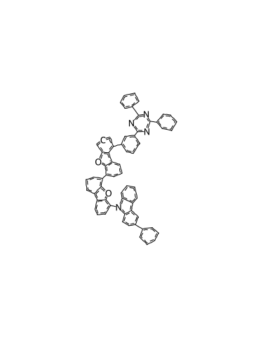 c1ccc(-c2ccc3c(c2)c2ccccc2n3-c2cccc3c2oc2c(-c4cccc5c4oc4cccc(-c6cccc(-c7nc(-c8ccccc8)nc(-c8ccccc8)n7)c6)c45)cccc23)cc1